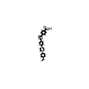 CC[C@H]1CC[C@@H](N2CCN(c3ccc(-c4nnc(-c5ccc(C(=O)O)cc5)s4)cn3)CC2)CC1